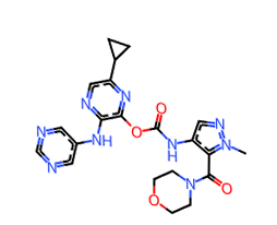 Cn1ncc(NC(=O)Oc2nc(C3CC3)cnc2Nc2cncnc2)c1C(=O)N1CCOCC1